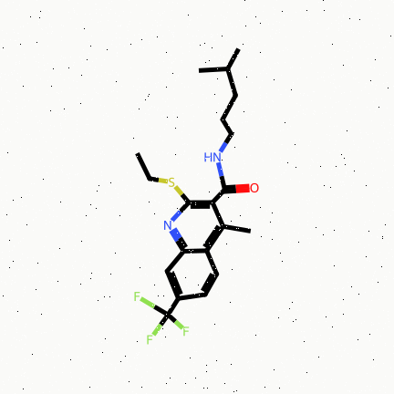 CCSc1nc2cc(C(F)(F)F)ccc2c(C)c1C(=O)NCCCC(C)C